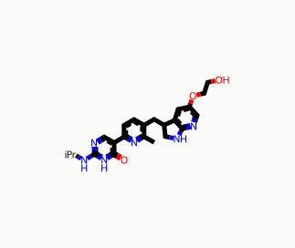 Cc1nc(-c2cnc(NC(C)C)[nH]c2=O)ccc1CC1CNc2ncc(OCCO)cc21